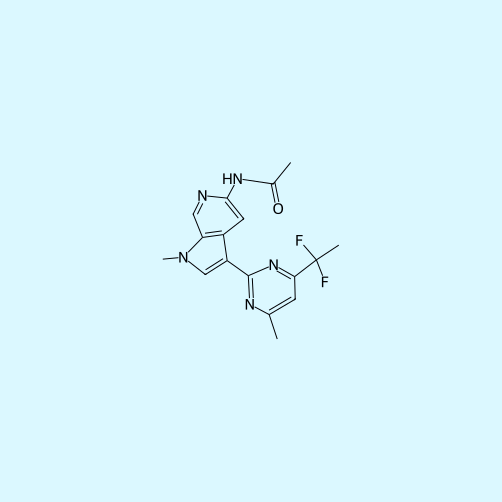 CC(=O)Nc1cc2c(-c3nc(C)cc(C(C)(F)F)n3)cn(C)c2cn1